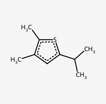 Cc1cc(C(C)C)sc1C